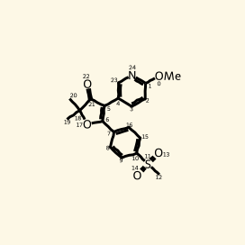 COc1ccc(C2=C(c3ccc(S(C)(=O)=O)cc3)OC(C)(C)C2=O)cn1